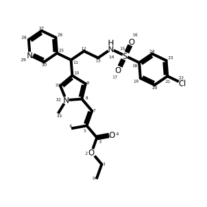 CCOC(=O)C(C)=Cc1cc(C(CCNS(=O)(=O)c2ccc(Cl)cc2)c2cccnc2)cn1C